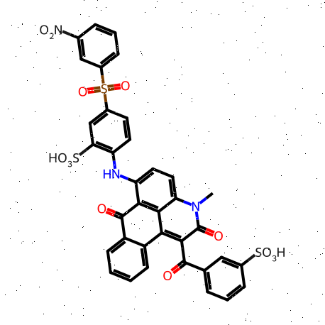 Cn1c(=O)c(C(=O)c2cccc(S(=O)(=O)O)c2)c2c3c(c(Nc4ccc(S(=O)(=O)c5cccc([N+](=O)[O-])c5)cc4S(=O)(=O)O)ccc31)C(=O)c1ccccc1-2